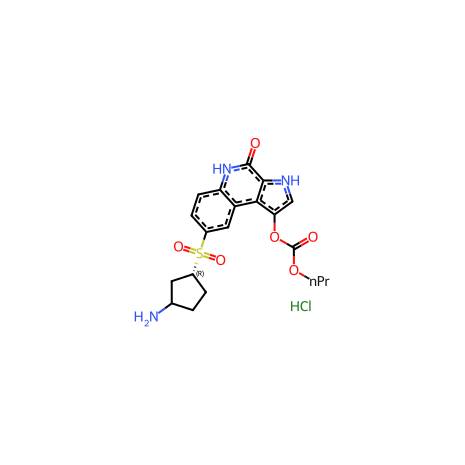 CCCOC(=O)Oc1c[nH]c2c(=O)[nH]c3ccc(S(=O)(=O)[C@@H]4CCC(N)C4)cc3c12.Cl